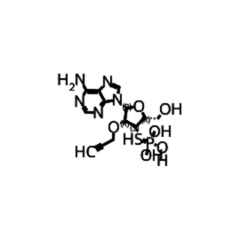 C#CCO[C@H]1[C@@H]([SH]=P(O)(O)O)[C@@H](CO)O[C@H]1n1cnc2c(N)ncnc21